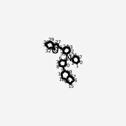 c1ccc(N(c2cccc(-c3ccc4ccccc4c3)c2)c2cccc(-c3cc4ccccc4o3)c2)cc1